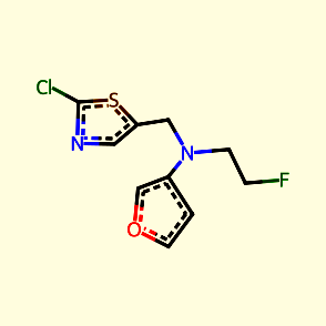 FCCN(Cc1cnc(Cl)s1)c1ccoc1